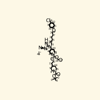 CC(C)(C)OC(=O)N1CCC(CCOC(OC=O)[n+]2ccc(N(CCCCCCOc3ccc(Cl)cc3)C(N)=NC#N)cc2)CC1.[I-]